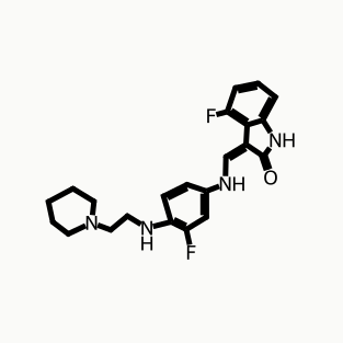 O=C1Nc2cccc(F)c2C1=CNc1ccc(NCCN2CCCCC2)c(F)c1